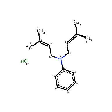 CC(C)=CCN(CC=C(C)C)c1ccccc1.Cl